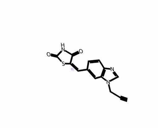 C#CCn1cnc2ccc(/C=C3/SC(=O)NC3=O)cc21